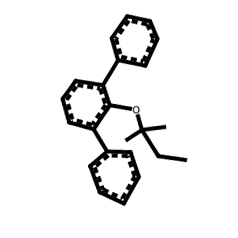 CCC(C)(C)Oc1c(-c2ccccc2)cccc1-c1ccccc1